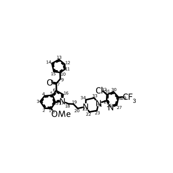 COc1cccc2c(C(=O)Cc3ccccc3)cn(CCCN3CCN(c4ncc(C(F)(F)F)cc4Cl)CC3)c12